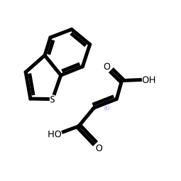 O=C(O)/C=C/C(=O)O.c1ccc2sccc2c1